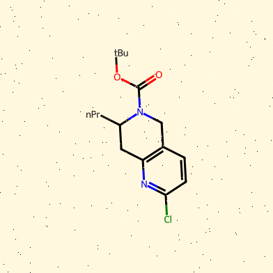 CCCC1Cc2nc(Cl)ccc2CN1C(=O)OC(C)(C)C